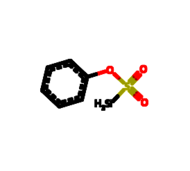 O=S(=O)([SiH3])Oc1ccccc1